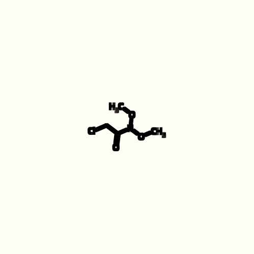 CON(OC)C(=O)CCl